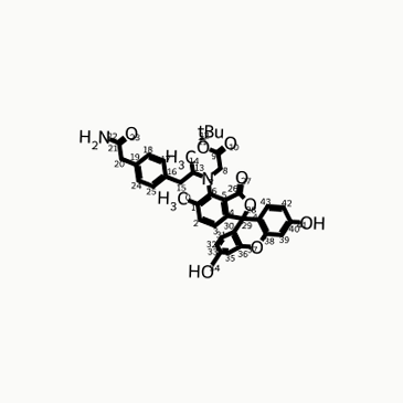 Cc1ccc2c(c1N(CC(=O)OC(C)(C)C)C(C)Cc1ccc(CC(N)=O)cc1)C(=O)OC21c2ccc(O)cc2Oc2cc(O)ccc21